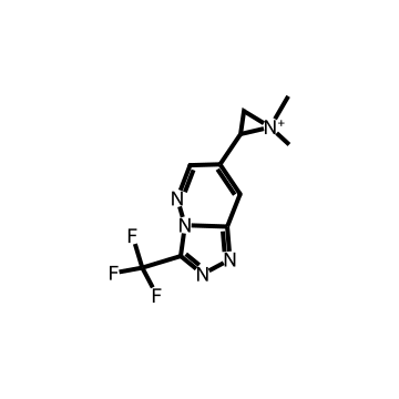 C[N+]1(C)CC1c1cnn2c(C(F)(F)F)nnc2c1